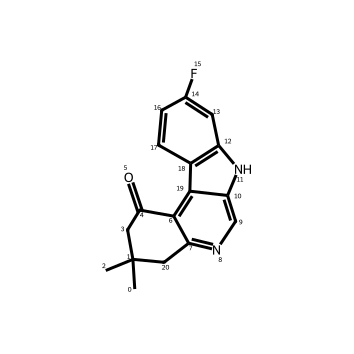 CC1(C)CC(=O)c2c(ncc3[nH]c4cc(F)ccc4c23)C1